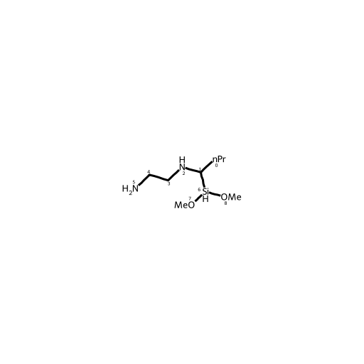 CCCC(NCCN)[SiH](OC)OC